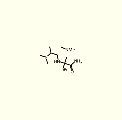 CCCC(C)(NCC(C)N(C)C)C(N)=O.CNC